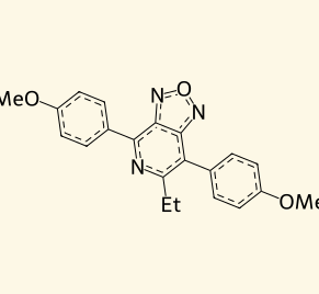 [CH2]Cc1nc(-c2ccc(OC)cc2)c2nonc2c1-c1ccc(OC)cc1